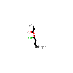 CCCCCCCCCC(Cl)OC(=O)CC(C)C